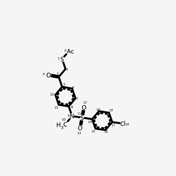 CC(=O)SCC(=O)c1ccc(N(C)S(=O)(=O)c2ccc(Cl)cc2)cc1